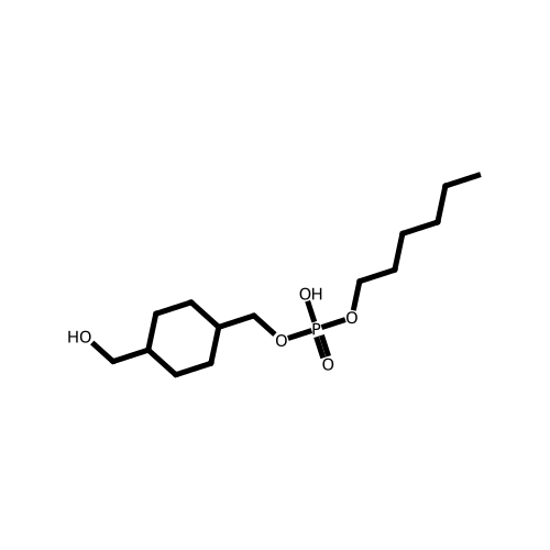 CCCCCCOP(=O)(O)OCC1CCC(CO)CC1